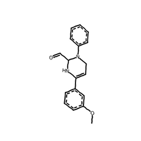 COc1cccc(C2=CCN(c3ccccc3)C(C=O)N2)c1